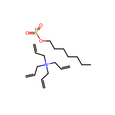 C=CC[N+](CC=C)(CC=C)CC=C.CCCCCCCO[SH](=O)=O